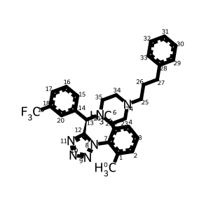 Cc1cccc(C)c1-n1nnnc1[C@@H](c1cccc(C(F)(F)F)c1)N1CCN(CCCc2ccccc2)CC1